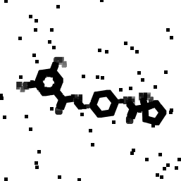 NC1(C(=O)N[C@H]2CC[C@@H](CNC(=O)c3cc(C(F)(F)F)cc(C(F)(F)F)c3)CC2)CCCC1